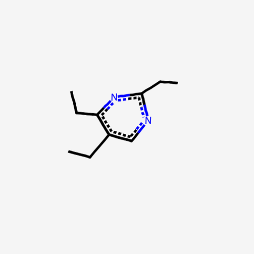 CCc1ncc(CC)c(CC)n1